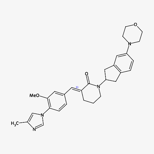 COc1cc(/C=C2\CCCN(C3Cc4ccc(N5CCOCC5)cc4C3)C2=O)ccc1-n1cnc(C)c1